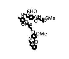 COc1cc2c(cc1OCCCCCOc1cc(/N=C\[C@@H]3Cc4ccc(NC(=O)CCC(C)(C)SSC)cc4N3C=O)c(C)cc1OC)N=CC1Cc3ccccc3N1C2=O